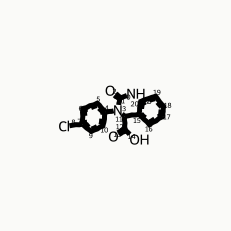 NC(=O)N(c1ccc(Cl)cc1)C(C(=O)O)c1ccccc1